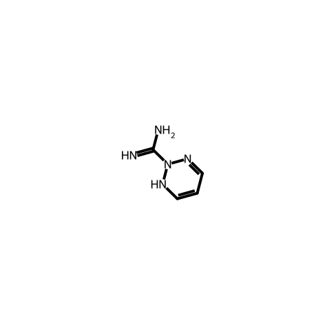 N=C(N)N1N=CC=CN1